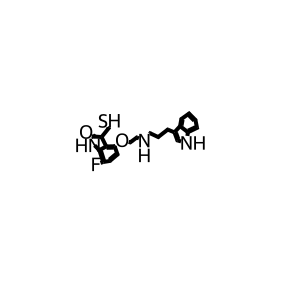 O=C1Nc2c(F)ccc(OCCNCCCc3c[nH]c4ccccc34)c2C1CS